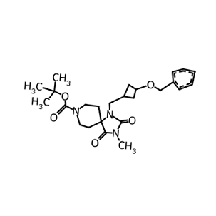 CN1C(=O)N(CC2CC(OCc3ccccc3)C2)C2(CCN(C(=O)OC(C)(C)C)CC2)C1=O